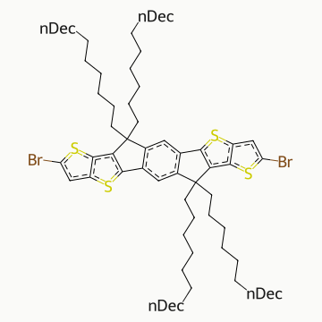 CCCCCCCCCCCCCCCCC1(CCCCCCCCCCCCCCCC)c2cc3c(cc2-c2sc4cc(Br)sc4c21)C(CCCCCCCCCCCCCCCC)(CCCCCCCCCCCCCCCC)c1c-3sc2cc(Br)sc12